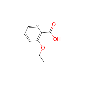 CCOc1ccc[c]c1C(=O)O